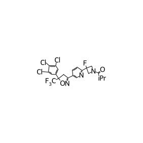 CC(C)C(=O)N1CC(F)(c2ccc(C3=NOC(c4cc(Cl)c(Cl)c(Cl)c4)(C(F)(F)F)C3)cn2)C1